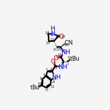 CC(C)(C)C[C@H](NC(=O)c1cc2cc(C(C)(C)C)ccc2[nH]1)C(=O)N[C@H](C#N)C[C@@H]1CCNC1=O